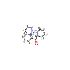 O=Cc1cccc2ccc[n+](-c3ccccc3)c12